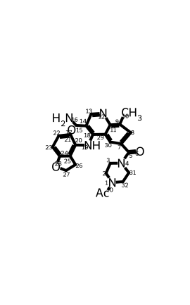 CC(=O)N1CCN(C(=O)c2cc(C)c3ncc(C(N)=O)c(Nc4cccc5c4CCO5)c3c2)CC1